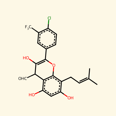 CC(C)=CCc1c(O)cc(O)c2c1OC(c1ccc(Cl)c(C(F)(F)F)c1)=C(O)C2C=O